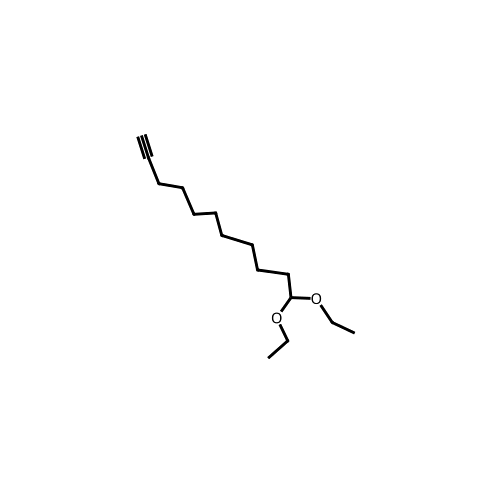 C#CCCCCCCCCC(OCC)OCC